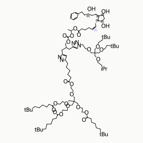 CC(C)CCOCC(COCCn1cc(CC(COC(=O)OC(C)OC(=O)CCC/C=C\C[C@@H]2[C@@H](CC[C@@H](O)CCc3ccccc3)[C@H](O)C[C@@H]2O)CC2=CC(CCCCCC(=O)OCCOCC(COCCOC(=O)CCCCCC(C)(C)C)(COCCOC(=O)CCCCCC(C)(C)C)COCCOC(=O)CCCCCC(C)(C)C)N=N2)nn1)(COCCC(C)(C)C)COCCC(C)(C)C